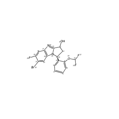 OC1C[C@@H](c2ccccc2OC(F)F)n2c1nc1cc(F)c(Br)cc12